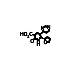 O=C(O)c1cc(-c2ccncn2)c(-c2ccco2)[nH]c1=O